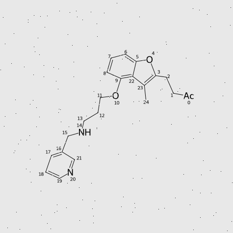 CC(=O)CCc1oc2cccc(OCCCNCc3cccnc3)c2c1C